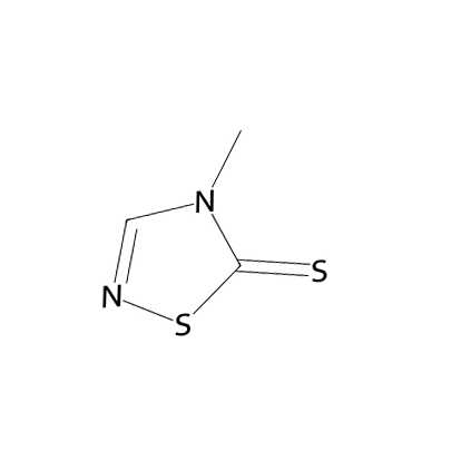 Cn1cnsc1=S